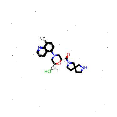 C[C@@H]1CN(c2ccc(C#N)c3ncccc23)C[C@H](C(=O)N2CCC3(CCNC3)C2)O1.Cl